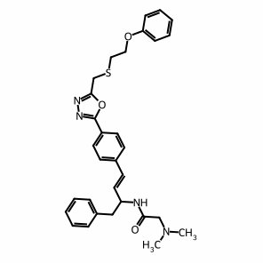 CN(C)CC(=O)NC(/C=C/c1ccc(-c2nnc(CSCCOc3ccccc3)o2)cc1)Cc1ccccc1